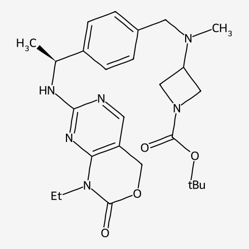 CCN1C(=O)OCc2cnc(N[C@@H](C)c3ccc(CN(C)C4CN(C(=O)OC(C)(C)C)C4)cc3)nc21